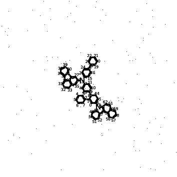 C1=C(c2ccccc2)C(c2ccc(N(c3ccc(-c4ccccc4)cc3)c3cc4c5c(cccc5c3)-c3ccccc3-4)cc2)CC=C1n1c2ccccc2c2c3ccccc3ccc21